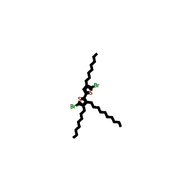 CCCCCCCCCCc1c(-c2cc(CCCCCCCC)c(Br)s2)sc(Br)c1CCCCCCCC